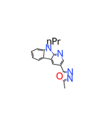 CCCn1c2ccccc2c2cc(-c3nnc(C)o3)cnc21